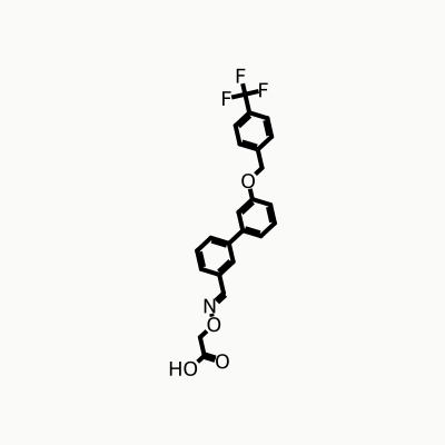 O=C(O)CON=Cc1cccc(-c2cccc(OCc3ccc(C(F)(F)F)cc3)c2)c1